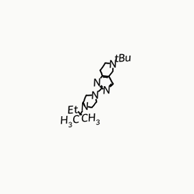 CCC(C)(C)N1CCN(c2ncc3c(n2)CCN(C(C)(C)C)C3)CC1